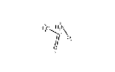 C[C]=O.N[O]